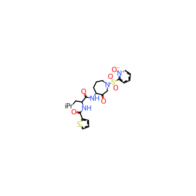 CC(C)CC(NC(=O)c1cccs1)C(=O)N[C@H]1CCCN(S(=O)(=O)c2cccc[n+]2[O-])CC1=O